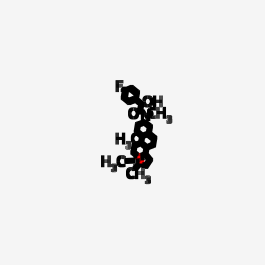 CC1C2CCC3C4CC=C5CC(N(C)C(=O)C(O)c6ccc(F)cc6)CCC5(C)C4CCC32CN1C